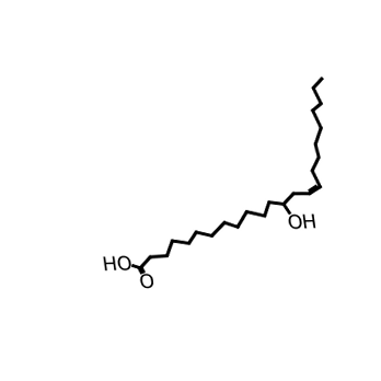 CCCCCCCC/C=C\CC(O)CCCCCCCCCCCC(=O)O